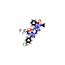 O=C(NC1CC1)c1ccccc1-n1cnc(Cn2nc(-c3ccc(Cl)cc3)n(CC(O)C(F)(F)F)c2=O)n1